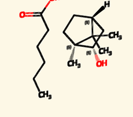 CC1(C)[C@@H]2CC[C@]1(C)[C@@H](O)C2.CCCCCC(=O)O